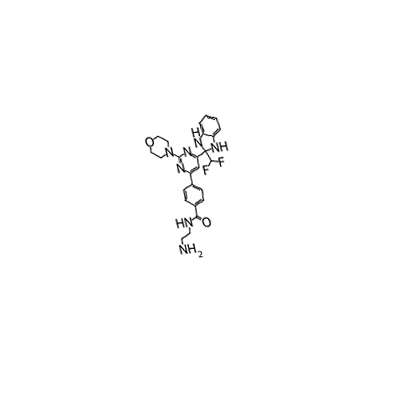 NCCNC(=O)c1ccc(-c2cc(C3(C(F)F)Nc4ccccc4N3)nc(N3CCOCC3)n2)cc1